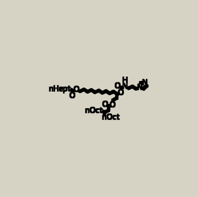 CCCCCCCCC(CCCCCCCC)CC(=O)OCCC(CCCCCCCCCCOC(=O)CCCCCCC)OC(=O)NCCCn1ccnc1